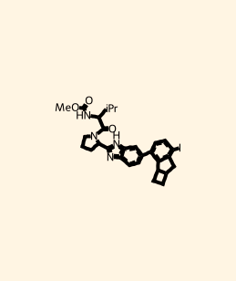 COC(=O)NC(C(=O)N1CCCC1c1nc2ccc(-c3ccc(I)c4c3C3CCC3C4)cc2[nH]1)C(C)C